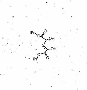 CC(C)OC(=O)C(O)SC(O)C(=O)OC(C)C